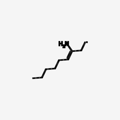 [CH2]CC(N)=CCCCCC